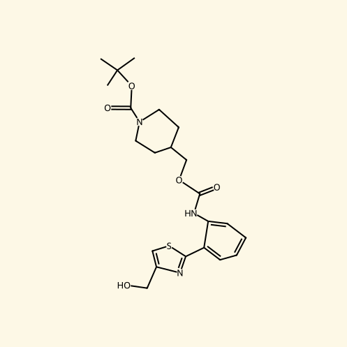 CC(C)(C)OC(=O)N1CCC(COC(=O)Nc2ccccc2-c2nc(CO)cs2)CC1